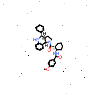 COc1ccc(C(=O)N[C@@H]2CCCC[C@@H]2C(=O)N2CC[C@@H]3[C@H](c4ccccc4)Nc4ccccc4[C@@H]32)cc1